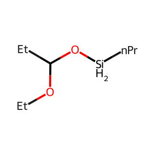 CCC[SiH2]OC(CC)OCC